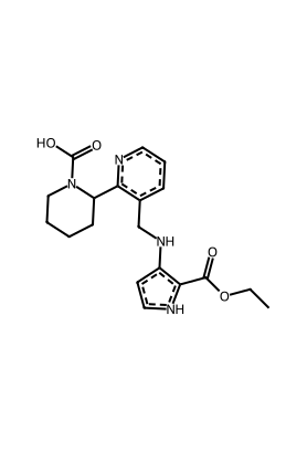 CCOC(=O)c1[nH]ccc1NCc1cccnc1C1CCCCN1C(=O)O